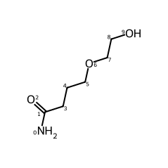 NC(=O)CCCOCCO